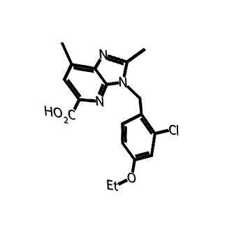 CCOc1ccc(Cn2c(C)nc3c(C)cc(C(=O)O)nc32)c(Cl)c1